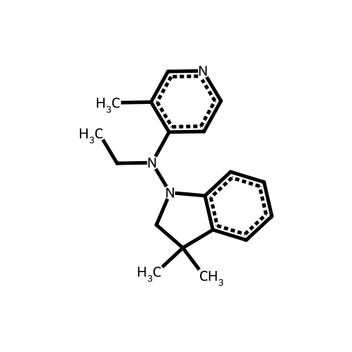 CCN(c1ccncc1C)N1CC(C)(C)c2ccccc21